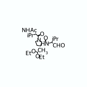 CC(=O)N[C@H](C(=O)N1CCC[C@H]1C(=O)N[C@H](C=O)C(C)C)C(C)C.CCOC(C)OCC